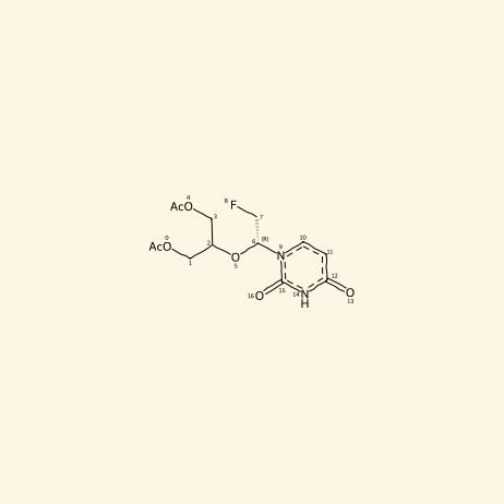 CC(=O)OCC(COC(C)=O)O[C@H](CF)n1ccc(=O)[nH]c1=O